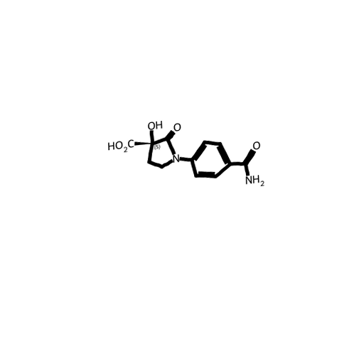 NC(=O)c1ccc(N2CC[C@@](O)(C(=O)O)C2=O)cc1